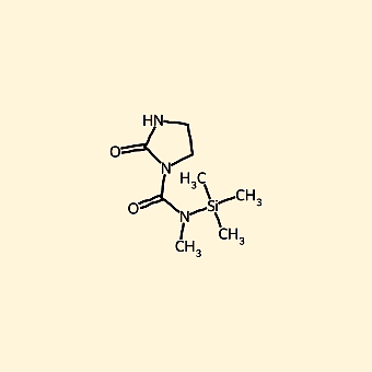 CN(C(=O)N1CCNC1=O)[Si](C)(C)C